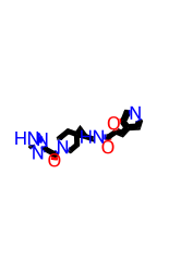 O=C(NCC1CC12CCN(C(=O)c1nc[nH]n1)CC2)c1cc2ccncc2o1